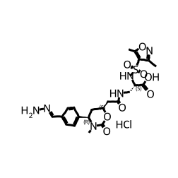 Cc1noc(C)c1S(=O)(=O)N[C@@H](CNC(=O)C[C@@H]1C[C@H](c2ccc(C=NN)cc2)N(C)C(=O)O1)C(=O)O.Cl